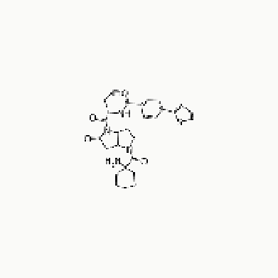 CC(C)CC(NC(=O)c1ccc(-c2cccs2)cc1)C(=O)N1C(=O)CC2C1CCN2C(=O)C1(N)CCCCC1